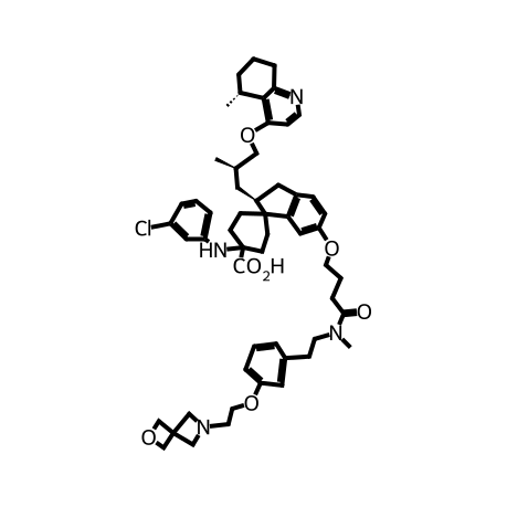 C[C@@H](COc1ccnc2c1[C@H](C)CCC2)C[C@H]1Cc2ccc(OCCCC(=O)N(C)CCc3cccc(OCCN4CC5(COC5)C4)c3)cc2C12CCC(Nc1cccc(Cl)c1)(C(=O)O)CC2